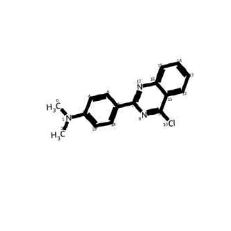 CN(C)c1ccc(-c2nc(Cl)c3ccccc3n2)cc1